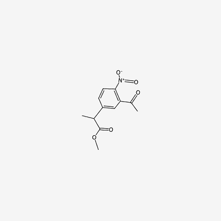 COC(=O)C(C)c1ccc([N+](=O)[O-])c(C(C)=O)c1